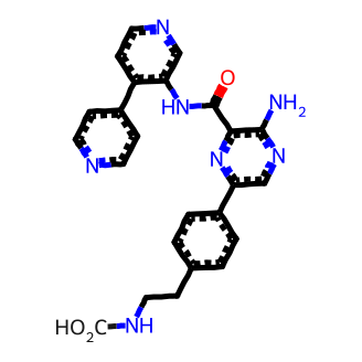 Nc1ncc(-c2ccc(CCNC(=O)O)cc2)nc1C(=O)Nc1cnccc1-c1ccncc1